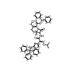 CC(C)ON=C(C(=O)NC1C(=O)N2C(C(=O)OC(c3ccccc3)c3ccccc3)=C(CCl)CS[C@@H]12)c1csc(NC(c2ccccc2)(c2ccccc2)c2ccccc2)n1